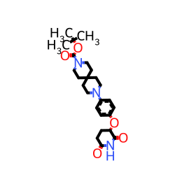 CC(C)(C)OC(=O)N1CCC2(CC1)CCN(c1ccc(OC3CCC(=O)NC3=O)cc1)CC2